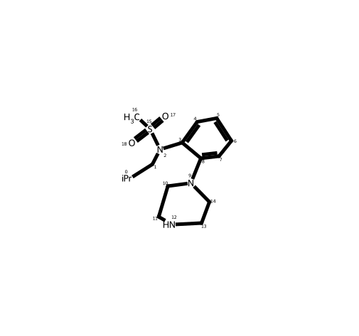 CC(C)CN(c1ccccc1N1CCNCC1)S(C)(=O)=O